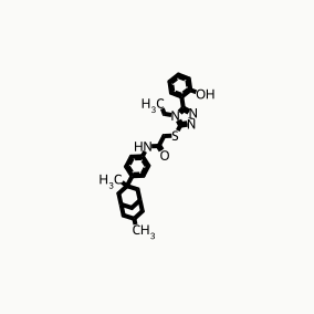 CCn1c(SCC(=O)Nc2ccc(C3(C)CC4CC(C)CC(C4)C3)cc2)nnc1-c1ccccc1O